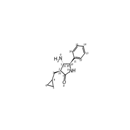 N[C@H]1[C@H](CC2CC2)C(=O)N[C@@H]1c1ccccc1